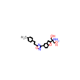 Cc1ccc(C=Cc2nc(-c3ccc4oc(C(N)(CO)CO)cc4c3)no2)cc1